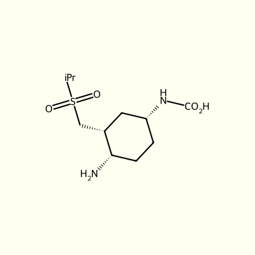 CC(C)S(=O)(=O)C[C@@H]1C[C@H](NC(=O)O)CC[C@@H]1N